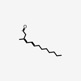 CCCCCCCC=CC=C(C)C[C]=O